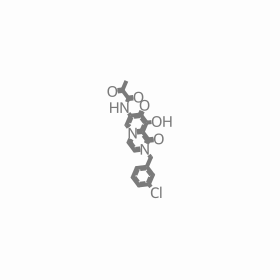 CC(=O)C(=O)Nc1cn2ccn(Cc3cccc(Cl)c3)c(=O)c2c(O)c1=O